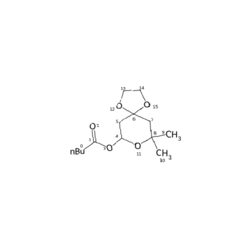 CCCCC(=O)OC1CC2(CC(C)(C)O1)OCCO2